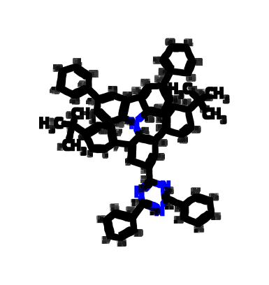 CC(C)(C)c1ccc(-c2cc(-c3nc(-c4ccccc4)nc(-c4ccccc4)n3)cc(C3=CCC(C(C)(C)C)C=C3)c2-n2c3ccc(-c4ccccc4)cc3c3cc(-c4ccccc4)ccc32)cc1